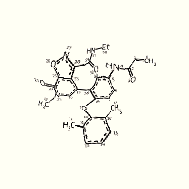 C=CC(=O)Nc1ccc(Oc2c(C)cccc2C)c(-c2cn(C)c(=O)c3onc(C(=O)NCC)c23)c1